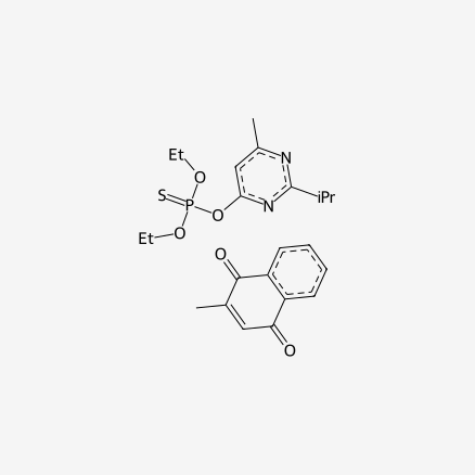 CC1=CC(=O)c2ccccc2C1=O.CCOP(=S)(OCC)Oc1cc(C)nc(C(C)C)n1